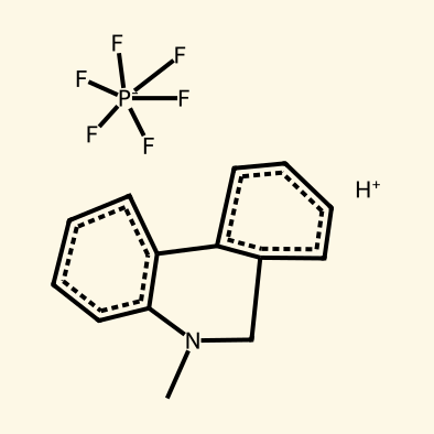 CN1Cc2ccccc2-c2ccccc21.F[P-](F)(F)(F)(F)F.[H+]